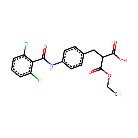 CCOC(=O)C(Cc1ccc(NC(=O)c2c(Cl)cccc2Cl)cc1)C(=O)O